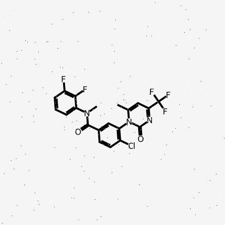 Cc1cc(C(F)(F)F)nc(=O)n1-c1cc(C(=O)N(C)c2cccc(F)c2F)ccc1Cl